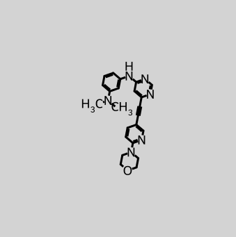 CN(C)c1cccc(Nc2cc(C#Cc3ccc(N4CCOCC4)nc3)ncn2)c1